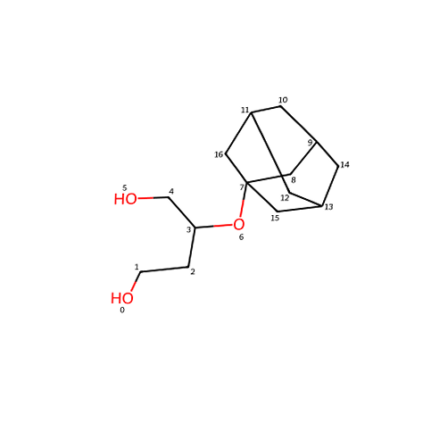 OCCC(CO)OC12CC3CC(CC(C3)C1)C2